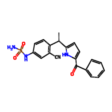 CC(c1ccc(C(=O)c2ccccc2)[nH]1)c1ccc(NS(N)(=O)=O)cc1C#N